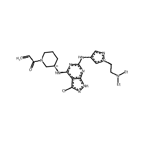 C=CC(=O)N1CCC[C@@H](Nc2nc(Nc3cnn(CCN(CC)CC)c3)nc3[nH]nc(Cl)c23)C1